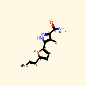 CCCC=Cc1ccc(-c2[nH]nc(C(N)=O)c2C)s1